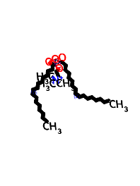 CCCCCCCC/C=C\CCCCCCCC(=O)P(=O)(OCC[N+](C)(C)C)C(=O)CCCCCCC/C=C\CCCCCCCC